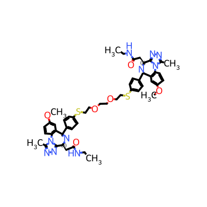 CCNC(=O)C[C@@H]1N=C(c2ccc(SCCOCCOCCSc3ccc(C4=N[C@@H](CC(=O)NCC)c5nnc(C)n5-c5ccc(OC)cc54)cc3)cc2)c2cc(OC)ccc2-n2c(C)nnc21